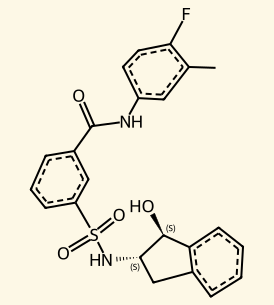 Cc1cc(NC(=O)c2cccc(S(=O)(=O)N[C@H]3Cc4ccccc4[C@@H]3O)c2)ccc1F